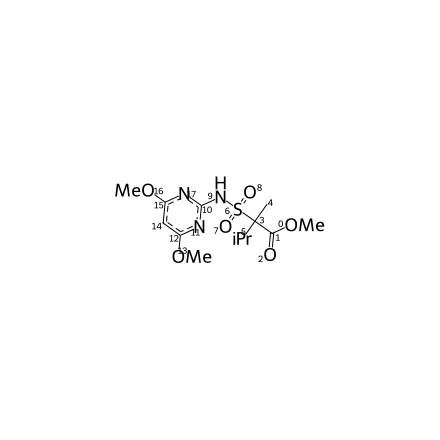 COC(=O)C(C)(C(C)C)S(=O)(=O)Nc1nc(OC)cc(OC)n1